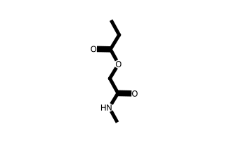 CCC(=O)OCC(=O)NC